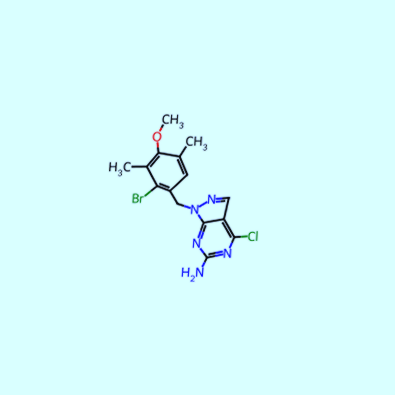 COc1c(C)cc(Cn2ncc3c(Cl)nc(N)nc32)c(Br)c1C